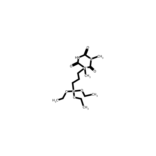 CCO[Si](CCC[N+]1(C)C(=O)NC(=O)N(C)C1=O)(OCC)OCC